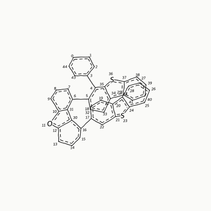 c1ccc(-c2c(-c3cccc4oc5cccc(-c6ccc7c(c6)sc6ccccc67)c5c34)ccc3c2sc2ccccc23)cc1